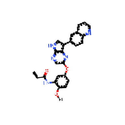 C=CC(=O)Nc1cc(Oc2cnc3[nH]cc(-c4ccc5ncccc5c4)c3n2)ccc1OCC